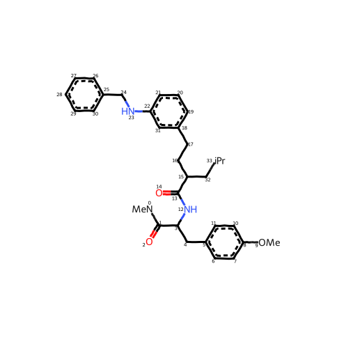 CNC(=O)C(Cc1ccc(OC)cc1)NC(=O)C([CH]Cc1cccc(NCc2ccccc2)c1)CC(C)C